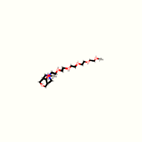 CC(C)(C)OCCOCCOCCOCCOCCN1CC2COCC(C1)C2OC(C)(C)C